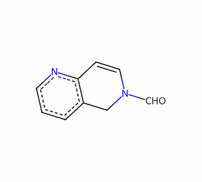 O=CN1C=Cc2ncccc2C1